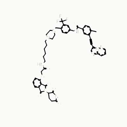 Cc1ccc(C(=O)Nc2ccc(CN3CCN(CCCCCCNC(=O)COc4cccc5c4C(=O)N(C4CCC(=O)NC4=O)C5=O)CC3)c(C(F)(F)F)c2)cc1C#Cc1cnc2cccnn12